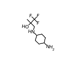 CC(O)(CNC1CCC(N)CC1)C(F)(F)F